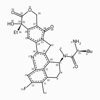 CCC(C)[C@H](N)C(=O)N(C)[C@H]1CCc2c(C)c(F)cc3nc4c(c1c23)Cn1c-4cc2c(c1=O)COC(=O)[C@]2(O)CC